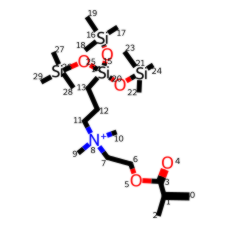 C=C(C)C(=O)OCC[N+](C)(C)CCC[Si](O[Si](C)(C)C)(O[Si](C)(C)C)O[Si](C)(C)C